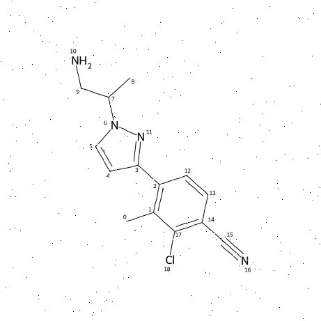 Cc1c(-c2ccn(C(C)CN)n2)ccc(C#N)c1Cl